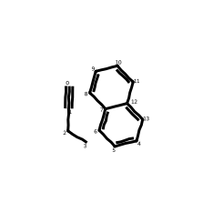 C#CCC.c1ccc2ccccc2c1